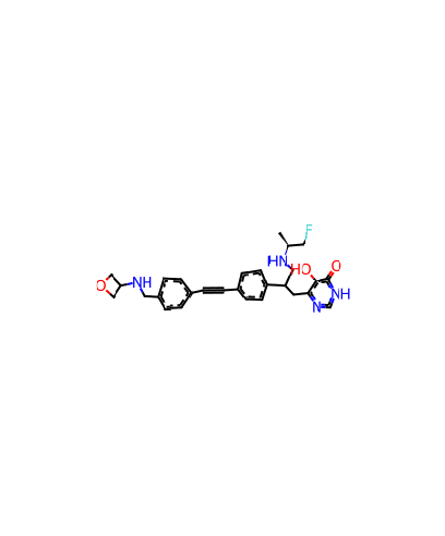 C[C@@H](CF)NCC(Cc1nc[nH]c(=O)c1O)c1ccc(C#Cc2ccc(CNC3COC3)cc2)cc1